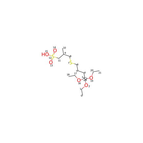 CCO[Si](CCCSCC(C)CS(=O)(=O)O)(OCC)OCC